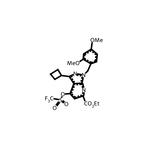 CCOC(=O)c1cc(OS(=O)(=O)C(F)(F)F)c2c(C3CCC3)nn(Cc3ccc(OC)cc3OC)c2n1